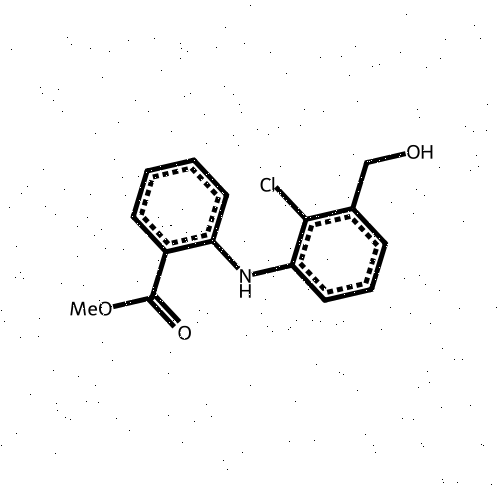 COC(=O)c1ccccc1Nc1cccc(CO)c1Cl